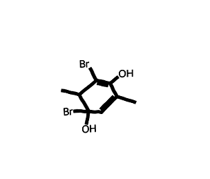 CC1=CC(O)(Br)C(C)C(Br)=C1O